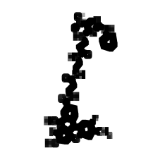 C=c1cc2c(cc1F)=C(c1ccc(C(=O)NCCC(=O)NCCNC(=O)CCNc3nc(Nc4ccccc4)ncc3[N+](=O)[O-])cc1C(=O)O)c1cc(F)c(O)cc1O2